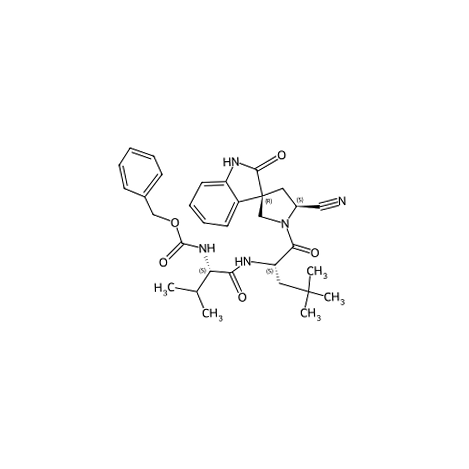 CC(C)[C@H](NC(=O)OCc1ccccc1)C(=O)N[C@@H](CC(C)(C)C)C(=O)N1C[C@]2(C[C@H]1C#N)C(=O)Nc1ccccc12